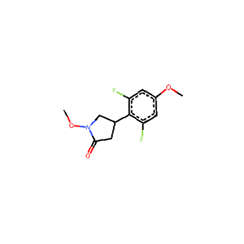 COc1cc(F)c(C2CC(=O)N(OC)C2)c(F)c1